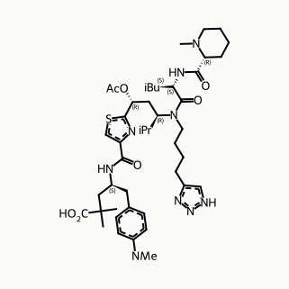 CC[C@H](C)[C@H](NC(=O)[C@H]1CCCCN1C)C(=O)N(CCCCc1c[nH]nn1)[C@H](C[C@@H](OC(C)=O)c1nc(C(=O)N[C@@H](Cc2ccc(NC)cc2)CC(C)(C)C(=O)O)cs1)C(C)C